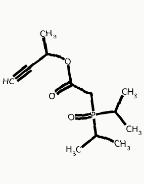 C#CC(C)OC(=O)CP(=O)(C(C)C)C(C)C